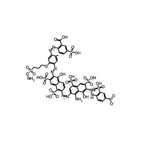 Cc1cc(N=Nc2c(S(=O)(=O)O)cc3c(S(=O)(=O)O)c(/N=N\c4cc(S(=O)(=O)O)c5cc(S(=O)(=O)O)c(NNc6ccc([N+](=O)[O-])cc6S(=O)(=O)O)c(O)c5c4N)ccc3c2O)c(OCCCS(=O)(=O)ON)cc1/N=N\c1ccc(S(=O)(=O)O)cc1C(=O)O